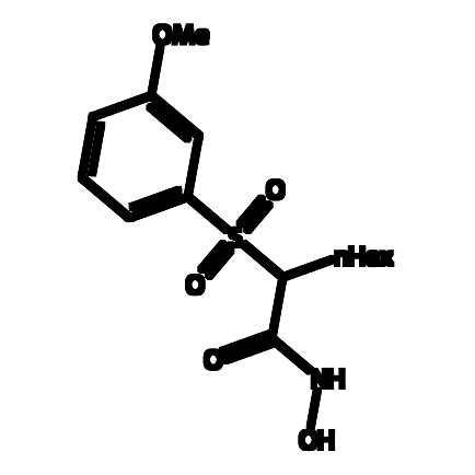 CCCCCCC(C(=O)NO)S(=O)(=O)c1cccc(OC)c1